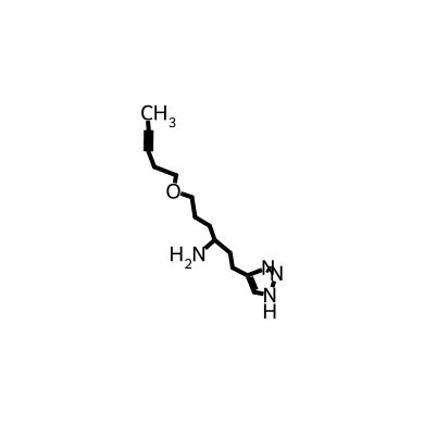 CC#CCCOCCCC(N)CCc1c[nH]nn1